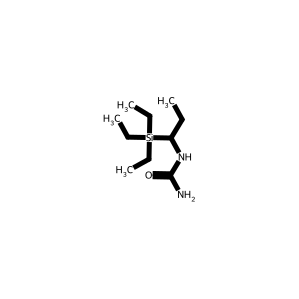 CCC(NC(N)=O)[Si](CC)(CC)CC